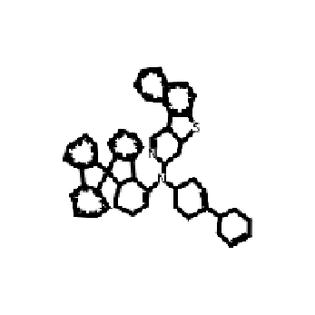 C1=CCC(C2=CCC(N(C3=CCCC4C3c3ccccc3C43c4ccccc4-c4ccccc43)C3CC4Sc5ccc6ccccc6c5C4C=N3)CC2)CC1